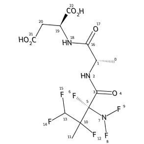 C[C@H](NC(=O)[C@@](F)(N(F)F)C(C)(F)C(F)F)C(=O)N[C@@H](CC(=O)O)C(=O)O